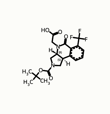 CC(C)(C)OC(=O)N1C[C@@H]2c3cccc(C(F)(F)F)c3C(=O)N(CC(=O)O)[C@H]2C1